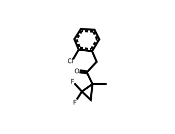 CC1(C(=O)Cc2ccccc2Cl)CC1(F)F